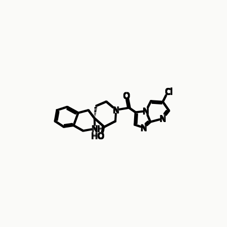 O=C(c1cnc2ncc(Cl)cn12)N1CC[C@]2(Cc3ccccc3CN2)[C@H](O)C1